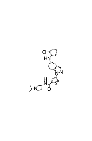 CC(C)N1CC[C@@H](NC(=O)c2cc(-n3ncc4cc(Nc5ccccc5Cl)ccc43)cs2)C1